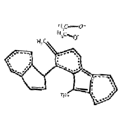 C=c1ccc2c(c1C1C=Cc3ccccc31)[C]([Ti+2])=c1ccccc1=2.C[O-].C[O-]